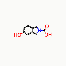 O=C(O)n1cc2ccc(O)cc2c1